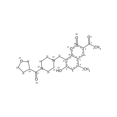 CC(=O)c1cc2c(C)cc(O)c(CN3CCN(C(=O)C4CCOC4)CC3)c2oc1=O